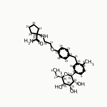 CS[C@H]1O[C@@H](c2ccc(C)c(Cc3ccc(OCCNC4(C(N)=O)CCCC4)cc3)c2)[C@H](O)[C@@H](O)[C@@H]1O